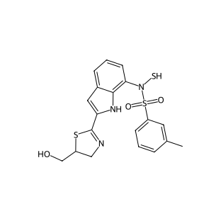 Cc1cccc(S(=O)(=O)N(S)c2cccc3cc(C4=NCC(CO)S4)[nH]c23)c1